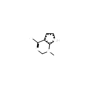 CN1CN=C(Cl)c2cc[nH]c21